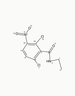 CCNC(=O)c1c(Cl)ccc([N+](=O)[O-])c1Cl